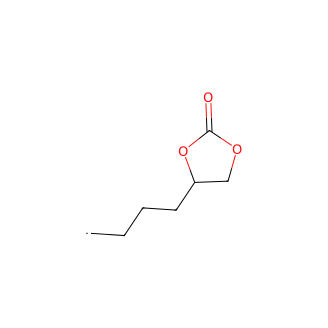 [CH2]CCCC1COC(=O)O1